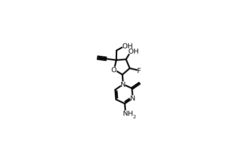 C#CC1(CO)OC(N2C=CC(N)=NC2=C)C(F)C1O